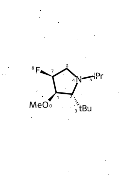 CO[C@@H]1[C@@H](C(C)(C)C)N(C(C)C)C[C@@H]1F